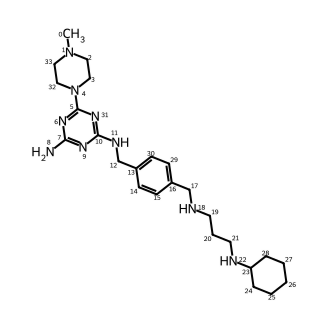 CN1CCN(c2nc(N)nc(NCc3ccc(CNCCCNC4CCCCC4)cc3)n2)CC1